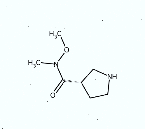 CON(C)C(=O)[C@H]1CCNC1